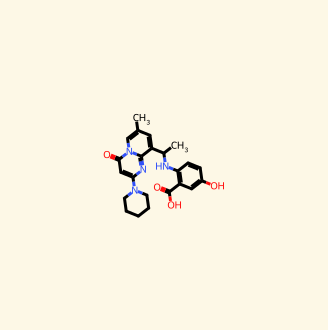 Cc1cc(C(C)Nc2ccc(O)cc2C(=O)O)c2nc(N3CCCCC3)cc(=O)n2c1